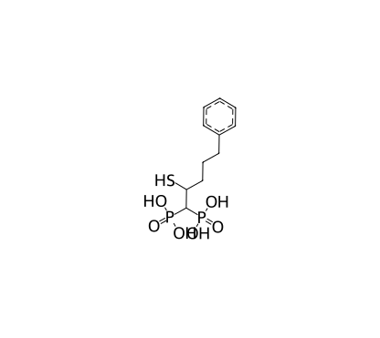 O=P(O)(O)C(C(S)CCCc1ccccc1)P(=O)(O)O